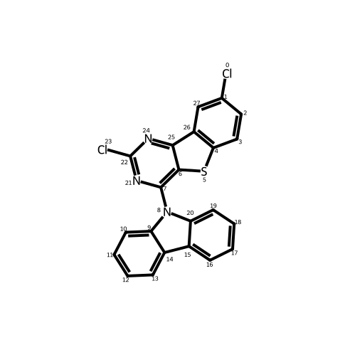 Clc1ccc2sc3c(-n4c5ccccc5c5ccccc54)nc(Cl)nc3c2c1